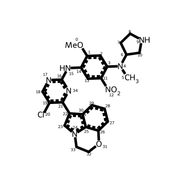 COc1cc(N(C)C2CCNC2)c([N+](=O)[O-])cc1Nc1ncc(Cl)c(-c2cn3c4c(cccc24)OCC3)n1